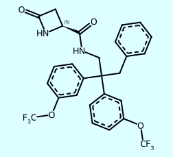 O=C1C[C@@H](C(=O)NCC(Cc2ccccc2)(c2cccc(OC(F)(F)F)c2)c2cccc(OC(F)(F)F)c2)N1